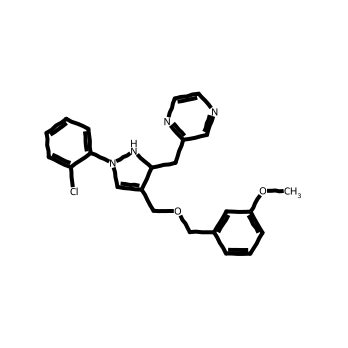 COc1cccc(COCC2=CN(c3ccccc3Cl)NC2Cc2cnccn2)c1